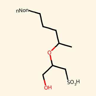 CCCCCCCCCCCCC(C)OC(CO)CS(=O)(=O)O